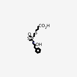 O=C(O)CCCSCCN1C(=O)SC[C@@H]1/C=C/[C@@H](O)Cc1ccccc1